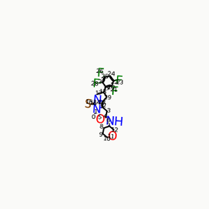 Cn1c(CC(=O)NC2CCCOC2)c2n(c1=S)CC(c1c(F)c(F)cc(F)c1F)C2